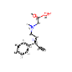 C#C/C(=C/CN(C)CC(=O)O)c1ccccc1